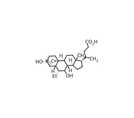 CC[C@H]1C(O)[C@@H]2[C@H](CC[C@]3(C)[C@@H](C(C)CCC(=O)O)CC[C@@H]23)[C@@]2(C)CC[C@@H](O)C[C@@H]12